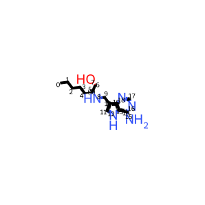 CCCCC[C@@H](CO)NCc1c[nH]c2c(N)ncnc12